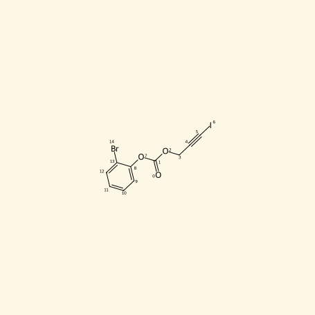 O=C(OCC#CI)Oc1ccccc1Br